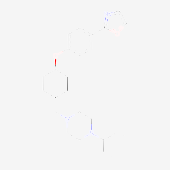 CC(C)N1CCN(C[C@H]2CC[C@H](Oc3ccc(-c4ncco4)cc3)CC2)CC1